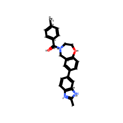 Cc1nc2ccc(-c3ccc4c(c3)CN(C(=O)c3ccc(C(F)(F)F)cc3)CCO4)cc2[nH]1